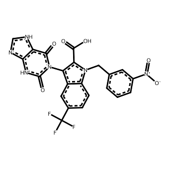 O=C(O)c1c(-n2c(=O)[nH]c3nc[nH]c3c2=O)c2cc(C(F)(F)F)ccc2n1Cc1cccc([N+](=O)[O-])c1